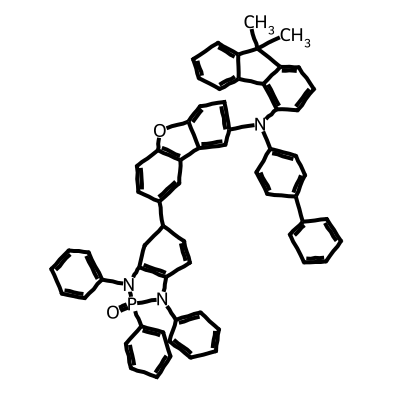 CC1(C)c2ccccc2-c2c(N(c3ccc(-c4ccccc4)cc3)c3ccc4oc5ccc(C6C=CC7=C(C6)N(c6ccccc6)P(=O)(c6ccccc6)N7c6ccccc6)cc5c4c3)cccc21